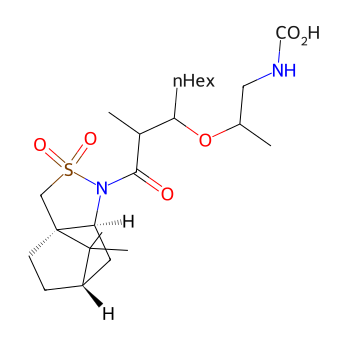 CCCCCCC(OC(C)CNC(=O)O)C(C)C(=O)N1[C@H]2C[C@@H]3CC[C@@]2(CS1(=O)=O)C3(C)C